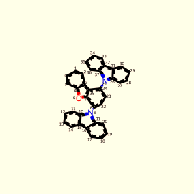 c1ccc2c(c1)oc1c(-n3c4ccccc4c4ccccc43)ccc(-n3c4ccccc4c4ccccc43)c12